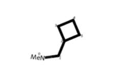 CN[CH]C1CCC1